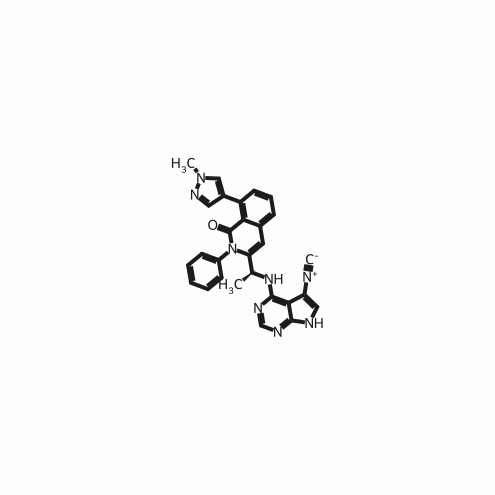 [C-]#[N+]c1c[nH]c2ncnc(N[C@@H](C)c3cc4cccc(-c5cnn(C)c5)c4c(=O)n3-c3ccccc3)c12